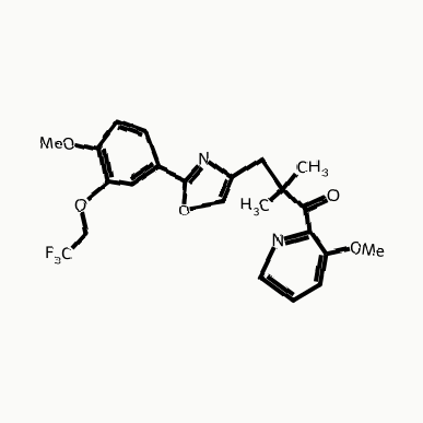 COc1ccc(-c2nc(CC(C)(C)C(=O)c3ncccc3OC)co2)cc1OCC(F)(F)F